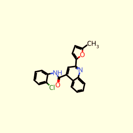 Cc1ccc(-c2cc(C(=O)Nc3ccccc3Cl)c3ccccc3n2)o1